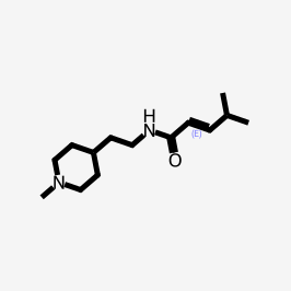 CC(C)/C=C/C(=O)NCCC1CCN(C)CC1